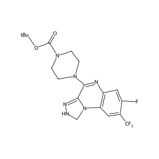 CC(C)(C)OC(=O)N1CCN(C2=Nc3cc(F)c(C(F)(F)F)cc3N3CNN=C23)CC1